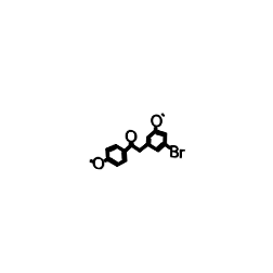 COc1ccc(C(=O)Cc2cc(Br)cc(OC)c2)cc1